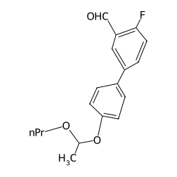 CCCOC(C)Oc1ccc(-c2ccc(F)c(C=O)c2)cc1